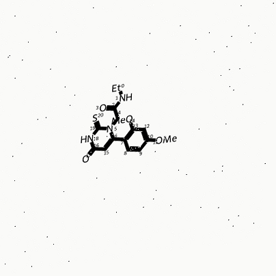 CCNC(=O)Cn1c(-c2ccc(OC)cc2OC)cc(=O)[nH]c1=S